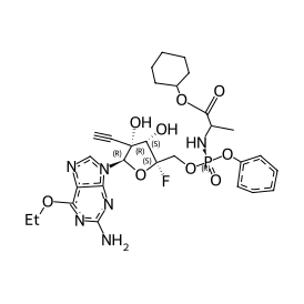 C#C[C@]1(O)[C@H](n2cnc3c(OCC)nc(N)nc32)O[C@](F)(CO[P@](=O)(NC(C)C(=O)OC2CCCCC2)Oc2ccccc2)[C@H]1O